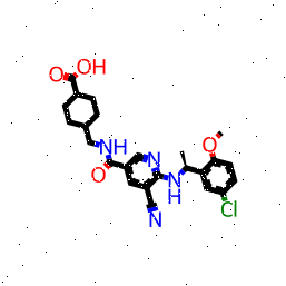 COc1ccc(Cl)cc1[C@H](C)Nc1ncc(C(=O)NCC2CCC(C(=O)O)CC2)cc1C#N